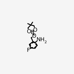 CC1(C)COB(OCc2cc(F)ccc2N)OC1